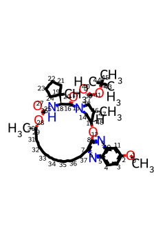 COc1ccc2nc3c(nc2c1)O[C@H]1CN(C(=O)[C@H](C2(C)CCCC2)NC(=O)O[C@@H](C)CCCCCCC3)[C@H](C(=O)OC(C)(C)C)[C@@H]1C